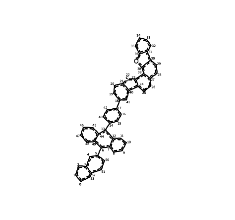 c1ccc2cc(-c3c4ccccc4c(-c4ccc(-c5ccc6sc7c(ccc8ccc9c%10ccccc%10oc9c87)c6c5)cc4)c4ccccc34)ccc2c1